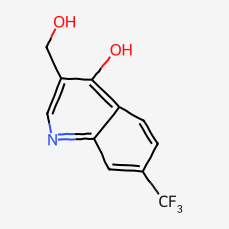 OCc1cnc2cc(C(F)(F)F)ccc2c1O